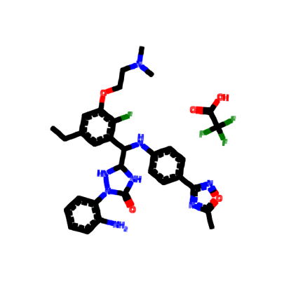 CCc1cc(OCCN(C)C)c(F)c(C(Nc2ccc(-c3noc(C)n3)cc2)C2NC(=O)N(c3ccccc3N)N2)c1.O=C(O)C(F)(F)F